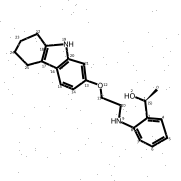 C[C@H](O)c1ccccc1NCCOc1ccc2c3c([nH]c2c1)CCCC3